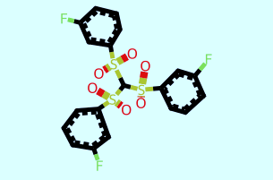 O=S(=O)(c1cccc(F)c1)C(S(=O)(=O)c1cccc(F)c1)S(=O)(=O)c1cccc(F)c1